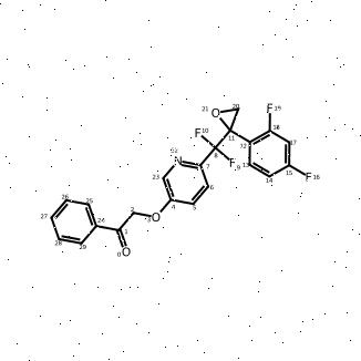 O=C(COc1ccc(C(F)(F)C2(c3ccc(F)cc3F)CO2)nc1)c1ccccc1